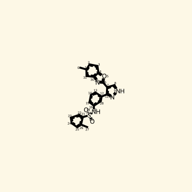 Cc1ccc2oc(-c3c[nH]nc3-c3cccc(NS(=O)(=O)c4ccccc4C)c3)nc2c1